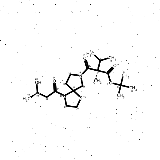 CC(C)[C@@](C)(C(=O)OC(C)(C)C)C(=O)N1CCC2(C1)SCCN2C(=O)C[C@@H](C)O